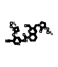 CO[C@H]1CCN(Cc2cc3c(nc2C=O)N(C(=O)Nc2cc(O[C@@H]4CC[C@@H]4OC)c(C#N)cn2)CCC3)C1=O